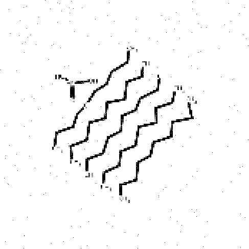 CCCCCCCCCC.CCCCCCCCCC.CCCCCCCCCC.CCCCCCCCCC.CCCCCCCCCC.O=[PH](O)O